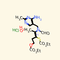 CCOC(=O)OCC/C(SC(=O)OCC)=C(\C)N(C=O)Cc1cnc(C)nc1N.Cl.O